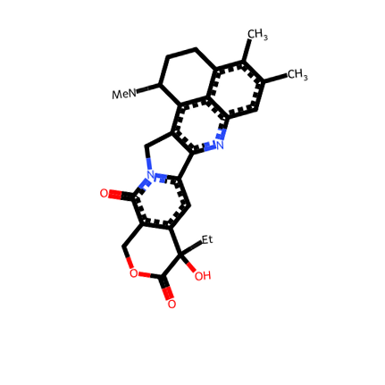 CCC1(O)C(=O)OCc2c1cc1n(c2=O)Cc2c-1nc1cc(C)c(C)c3c1c2C(NC)CC3